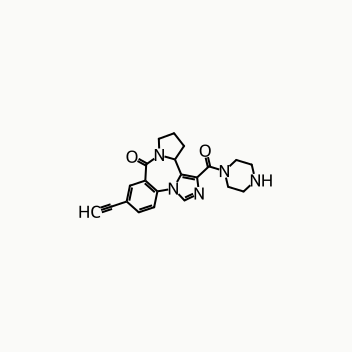 C#Cc1ccc2c(c1)C(=O)N1CCCC1c1c(C(=O)N3CCNCC3)ncn1-2